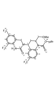 COCC1CC(N(Cc2cc(C(F)(F)F)cc(C(F)(F)F)c2)C(N)=O)c2cc(C(F)(F)F)ccc2N1C(=O)OC(C)C